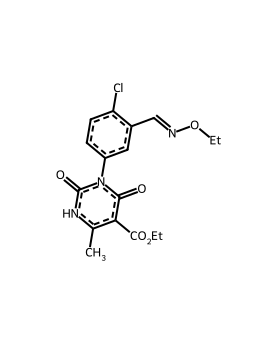 CCON=Cc1cc(-n2c(=O)[nH]c(C)c(C(=O)OCC)c2=O)ccc1Cl